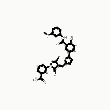 COc1cccc(NC(=O)c2cc(-c3ccc(C=C4C(=O)N(c5cccc(C(=O)O)c5)N=C4C)o3)ccc2Cl)c1